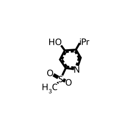 CC(C)c1cnc(S(C)(=O)=O)cc1O